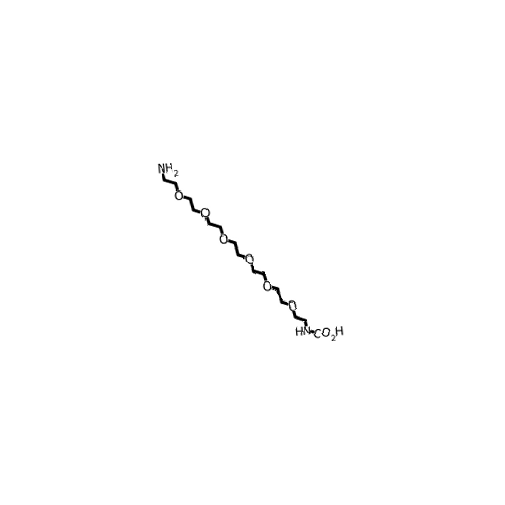 NCCOCCOCCOCCOCCOCCOCCNC(=O)O